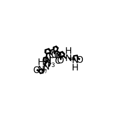 COc1nc(-c2cccc(-c3cccc(-c4ccc5c(n4)CCN(C[C@H]4CCC(=O)N4)C5)c3Cl)c2Cl)ccc1CNC[C@H]1CCC(=O)N1